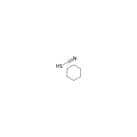 C1CCCCC1.N#CS